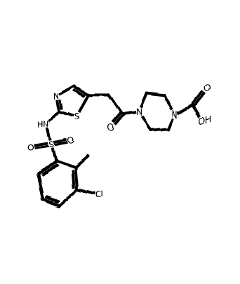 Cc1c(Cl)cccc1S(=O)(=O)Nc1ncc(CC(=O)N2CCN(C(=O)O)CC2)s1